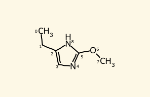 CCc1cnc(OC)[nH]1